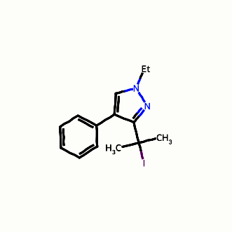 CCn1cc(-c2ccccc2)c(C(C)(C)I)n1